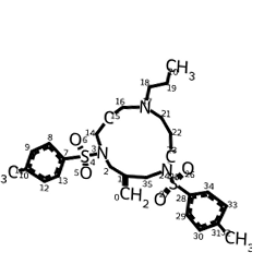 C=C1CN(S(=O)(=O)c2ccc(C)cc2)CCCN(CCC)CCCN(S(=O)(=O)c2ccc(C)cc2)C1